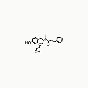 O=C(CCc1ccccc1)N[C@@H](COCCO)Cc1ccc(O)cc1